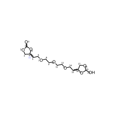 O=C1OC/C(=C/COCCOCCOCC=C2COC(O)O2)O1